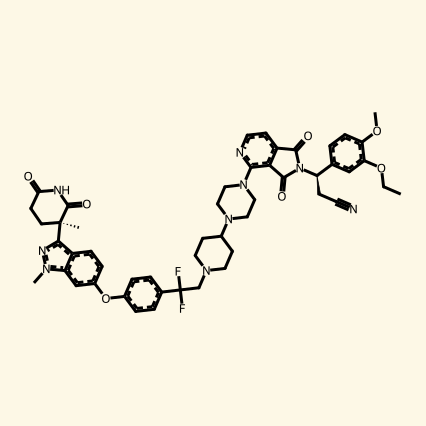 CCOc1cc([C@@H](CC#N)N2C(=O)c3ccnc(N4CCN(C5CCN(CC(F)(F)c6ccc(Oc7ccc8c([C@@]9(C)CCC(=O)NC9=O)nn(C)c8c7)cc6)CC5)CC4)c3C2=O)ccc1OC